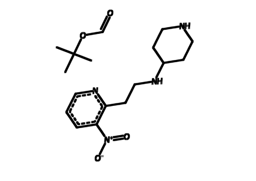 CC(C)(C)OC=O.O=[N+]([O-])c1cccnc1CCNC1CCNCC1